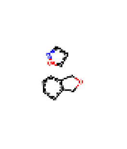 c1ccc2c(c1)COC2.c1cnoc1